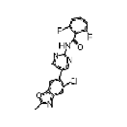 Cc1nc2cc(Cl)c(-c3cnc(NC(=O)c4c(F)cccc4F)nc3)cc2o1